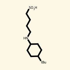 CC(C)(C)C1CCC(NCCCCS(=O)(=O)O)CC1